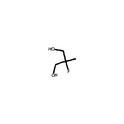 CC(F)(CO)CO